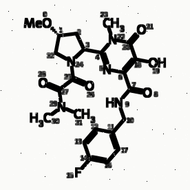 CO[C@@H]1CC(c2nc(C(=O)NCc3ccc(F)cc3)c(O)c(=O)n2C)N(C(=O)C(=O)N(C)C)C1